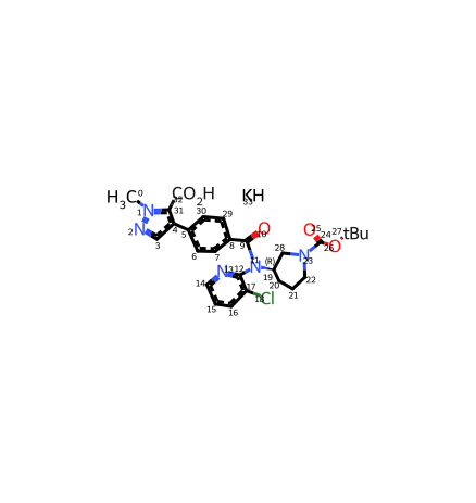 Cn1ncc(-c2ccc(C(=O)N(c3ncccc3Cl)[C@@H]3CCCN(C(=O)OC(C)(C)C)C3)cc2)c1C(=O)O.[KH]